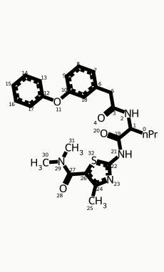 CCCC(NC(=O)Cc1cccc(Oc2ccccc2)c1)C(=O)Nc1nc(C)c(C(=O)N(C)C)s1